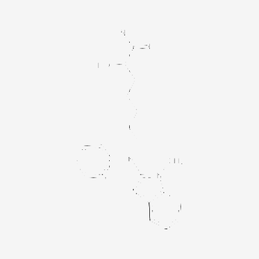 Cn1c(N(CCCCCC(O)C(N)=O)c2ccccn2)nc2ccccc21